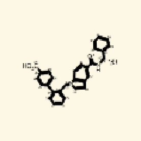 CC[C@H](NC(=O)c1ccc2c(ccn2Cc2ccccc2-c2ccc(C(=O)O)cc2)c1)c1ccccc1